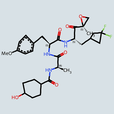 COc1ccc(C[C@H](NC(=O)[C@@H](C)NC(=O)C2CCC(O)CC2)C(=O)N[C@@H](CC2CC(F)(F)C2)C(=O)[C@]2(C)CO2)cc1